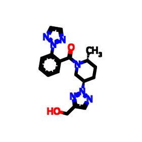 C[C@@H]1CC[C@@H](n2ncc(CO)n2)CN1C(=O)c1ccccc1-n1nccn1